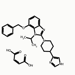 CC(C)n1c(N2CCC(c3c[nH]cn3)CC2)nc2cccc(OCc3ccccc3)c21.O=C(O)/C=C\C(=O)O